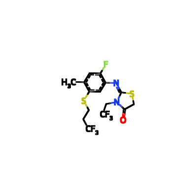 Cc1cc(F)c(N=C2SCC(=O)N2CC(F)(F)F)cc1SCCC(F)(F)F